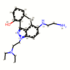 CCN(CC)CCn1nc2c3c(c(NCCN)ccc31)[Se]c1cccc(O)c1-2